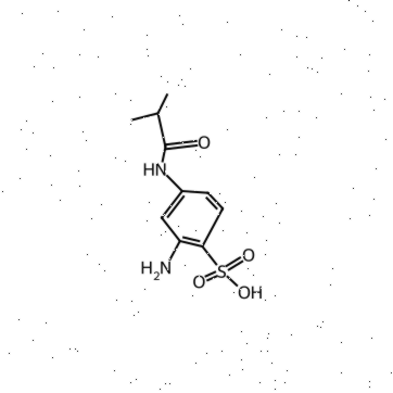 CC(C)C(=O)Nc1ccc(S(=O)(=O)O)c(N)c1